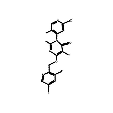 Cc1cnc(Cl)cc1-n1c(C)nc(OCc2ncc(F)cc2F)c(Cl)c1=O